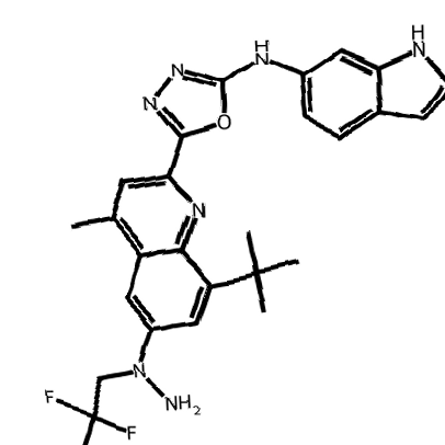 Cc1cc(-c2nnc(Nc3ccc4cc[nH]c4c3)o2)nc2c(C(C)(C)C)cc(N(N)CC(F)(F)F)cc12